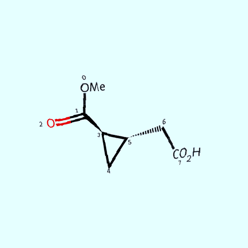 COC(=O)[C@@H]1C[C@H]1CC(=O)O